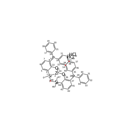 C[Si](C)(C)c1cccc(P(c2ccccc2)c2ccccc2)c1[O][Zr][O]c1c(P(c2ccccc2)c2ccccc2)cccc1[Si](C)(C)C.Cl.Cl